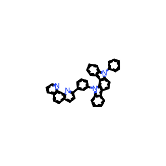 c1ccc(-n2c3ccccc3c3c2ccc2c4ccccc4n(-c4cccc(-c5ccc6ccc7cccnc7c6n5)c4)c23)cc1